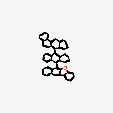 c1ccc2c(-c3c4ccccc4c(-c4c5ccccc5cc5c4oc4ccccc45)c4ccccc34)c3ccc4ccccc4c3cc2c1